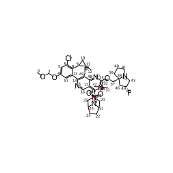 COCOc1cc(Cl)c(C2CC2C)c(-c2ncc3c(N4CC5CCC(C4)N5C(=O)OC(C)(C)C)nc(OC[C@@]45CCCN4C[C@H](F)C5)nc3c2F)c1